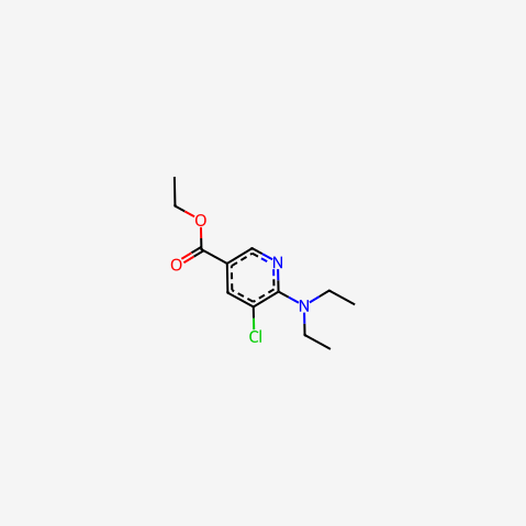 CCOC(=O)c1cnc(N(CC)CC)c(Cl)c1